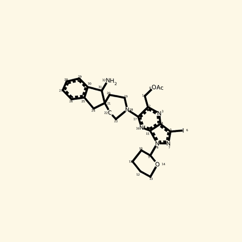 CC(=O)OCc1nc2c(I)nn(C3CCCCO3)c2nc1N1CCC2(CC1)Cc1ccccc1C2N